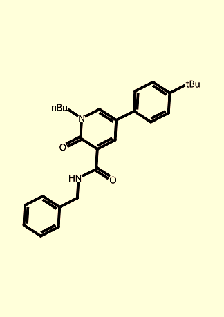 CCCCn1cc(-c2ccc(C(C)(C)C)cc2)cc(C(=O)NCc2ccccc2)c1=O